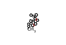 CC1C=C2C(CCC23c2ccccc2-c2c(N(c4ccc5c6ccccc6n(-c6ccccc6)c5c4)c4ccccc4-c4ccccc4)cccc23)C1